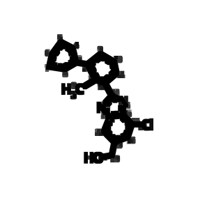 Cc1c(-c2ccccc2)cccc1-c1nc2c(Cl)cc(CO)cn2n1